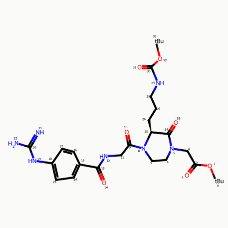 CC(C)(C)OC(=O)CN1CCN(C(=O)CNC(=O)c2ccc(NC(=N)N)cc2)[C@@H](CCCNC(=O)OC(C)(C)C)C1=O